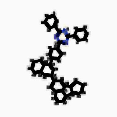 c1ccc(-c2nc(-c3ccccc3)nc(-c3ccc(-c4cc(-c5cc6c7c(cccc7c5)-c5ccccc5-6)cc5ccccc45)cc3)n2)cc1